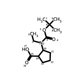 CCN(C(=O)OC(C)(C)C)C1CCCC1C(=O)O